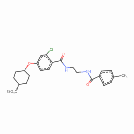 CCOC(=O)[C@H]1CC[C@@H](Oc2ccc(C(=O)NCCNC(=O)c3ccc(C(F)(F)F)cc3)c(Cl)c2)CC1